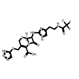 O=C(O)C1=C(CSc2cnn[nH]2)CS[C@H]2C(Nc3nc(CCNC(=O)C(F)(F)F)c[nH]3)C(=O)N12